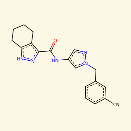 N#Cc1cccc(Cn2cc(NC(=O)c3n[nH]c4c3CCCC4)cn2)c1